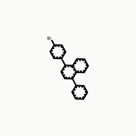 Brc1ccc(-c2ccc(-c3ccccc3)c3ccccc23)cc1